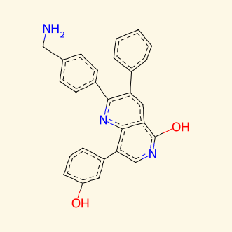 NCc1ccc(-c2nc3c(-c4cccc(O)c4)cnc(O)c3cc2-c2ccccc2)cc1